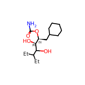 CCC(CC)C(O)[C@@H](O)[C@H](CC1CCCCC1)OC(N)=O